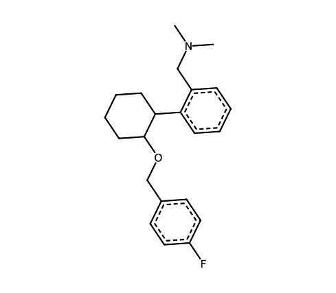 CN(C)Cc1ccccc1C1CCCCC1OCc1ccc(F)cc1